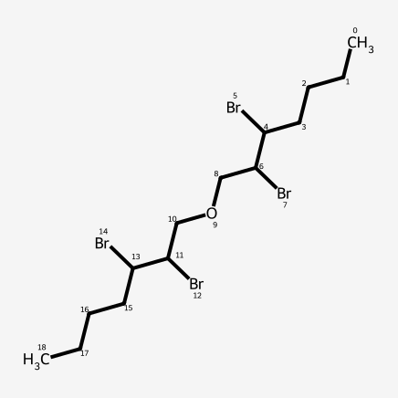 CCCCC(Br)C(Br)COCC(Br)C(Br)CCCC